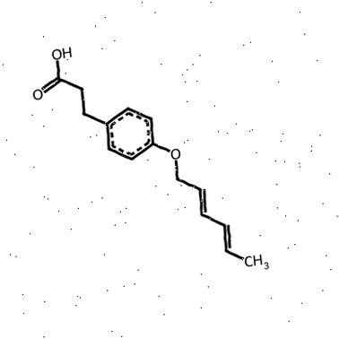 C/C=C/C=C/COc1ccc(CCC(=O)O)cc1